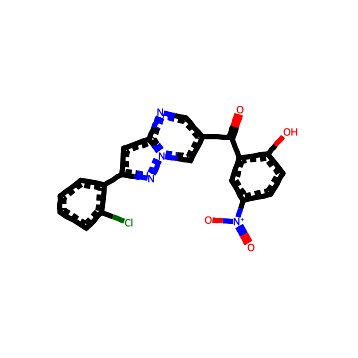 O=C(c1cnc2cc(-c3ccccc3Cl)nn2c1)c1cc([N+](=O)[O-])ccc1O